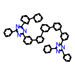 c1ccc(-c2cccc(-c3nc(-c4ccccc4)nc(-c4cccc(-c5cccc(-c6cccc(-c7cccc(-c8cccc(-c9nc(-c%10ccccc%10)nc(-c%10ccccc%10)n9)c8)c7)c6)c5)c4)n3)c2)cc1